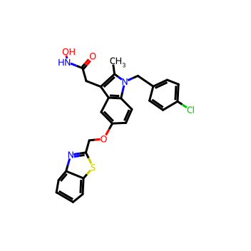 Cc1c(CC(=O)NO)c2cc(OCc3nc4ccccc4s3)ccc2n1Cc1ccc(Cl)cc1